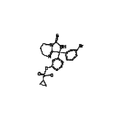 O=S(=O)(Oc1cccc(C2(c3cccc(Br)c3)NC(=S)N3CCCN=C32)c1)C1CC1